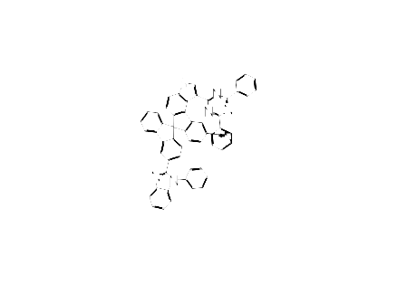 N#Cc1ccc2c(c1)-c1c(ccc3scc(-c4nc(-c5ccccc5)nc(-c5ccccc5)n4)c13)C21c2ccccc2-c2cc(-c3nc4ccccc4n3-c3ccccc3)ccc21